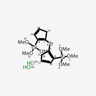 CO[Si](OC)(OC)C1=[C]([Zr][C]2=C([Si](OC)(OC)OC)C=CC2)CC=C1.Cl.Cl